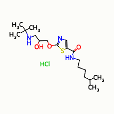 CC(C)CCCCNC(=O)c1cnc(OCC(O)CNC(C)(C)C)s1.Cl